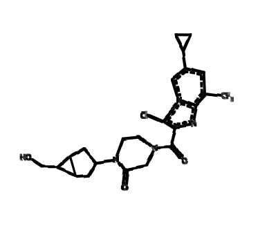 O=C(c1nc2c(C(F)(F)F)cc(C3CC3)cn2c1Cl)N1CCN(C2CC3C(CO)C3C2)C(=O)C1